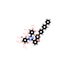 Bc1c(B)c(B)c(-c2nc(-c3c(B)c(B)c(B)c(B)c3B)nc(-c3cccc4oc5cc(-c6ccc(-c7ccc(-c8ccccc8)cc7)cc6)ccc5c34)n2)c(B)c1B